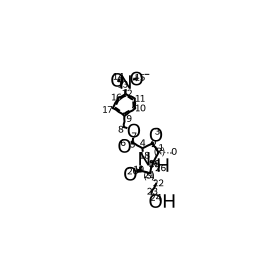 C[C@H]1C(=O)C(C(=O)OCc2ccc([N+](=O)[O-])cc2)N2C(=O)[C@@H](CCO)[C@@H]12